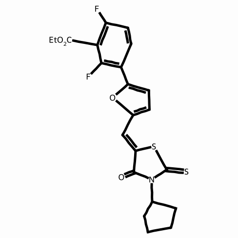 CCOC(=O)c1c(F)ccc(-c2ccc(/C=C3\SC(=S)N(C4CCCC4)C3=O)o2)c1F